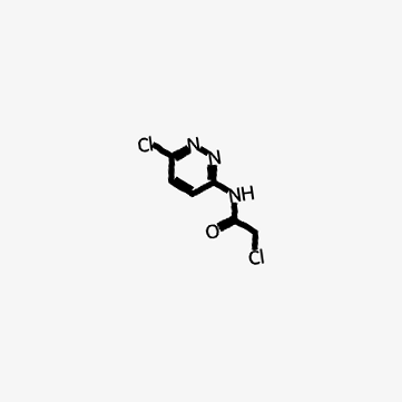 O=C(CCl)Nc1ccc(Cl)nn1